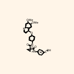 COc1cc2nccc(Oc3ccc(NC(=O)C4(C(=O)NC56CCC(CO)(CC5)CC6)CC4)cc3)c2cc1OC